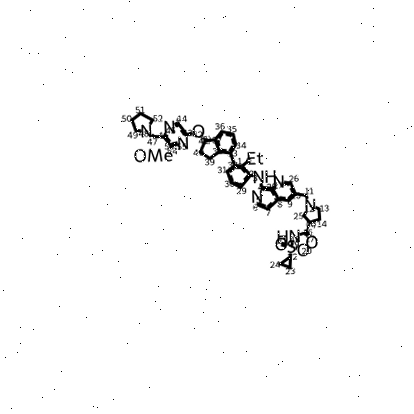 CCc1c(Nc2nccc3cc(CN4CC[C@@H](C(=O)NS(=O)(=O)C5CC5)C4)cnc23)cccc1-c1cccc2c1CC[C@H]2Oc1cnc(CN2CCCC2)c(OC)n1